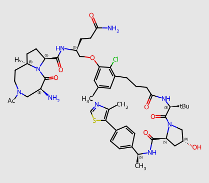 CC(=O)N1CC[C@H]2CC[C@@H](C(=O)N[C@@H](CCC(N)=O)COc3cc(C)cc(CCCC(=O)N[C@H](C(=O)N4C[C@H](O)C[C@H]4C(=O)N[C@@H](C)c4ccc(-c5scnc5C)cc4)C(C)(C)C)c3Cl)N2C(=O)[C@@H](N)C1